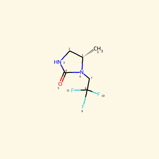 C[C@H]1CNC(=O)N1CC(F)(F)F